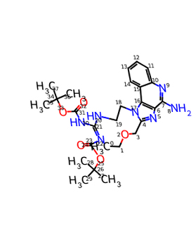 CCOCc1nc2c(N)nc3ccccc3c2n1CCNC(=NC(=O)OC(C)(C)C)NC(=O)OC(C)(C)C